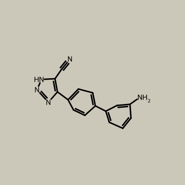 N#Cc1[nH]nnc1-c1ccc(-c2cccc(N)c2)cc1